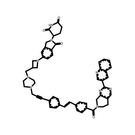 O=C1CCC(N2Cc3cc(N4CC(CN5CCN(CC#Cc6ccc(/C=C/c7ccc(C(=O)N8CCc9cnc(-c%10cnc%11ccccc%11c%10)nc9C8)cc7)cc6)CC5)C4)ccc3C2=O)C(=O)N1